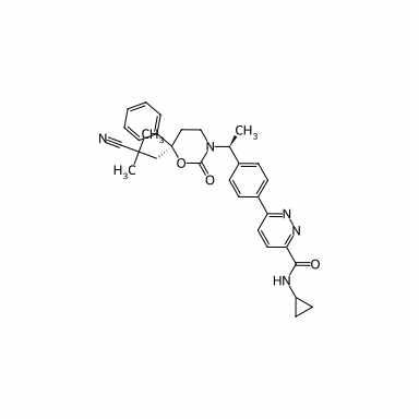 C[C@@H](c1ccc(-c2ccc(C(=O)NC3CC3)nn2)cc1)N1CC[C@](CC(C)(C)C#N)(c2ccccc2)OC1=O